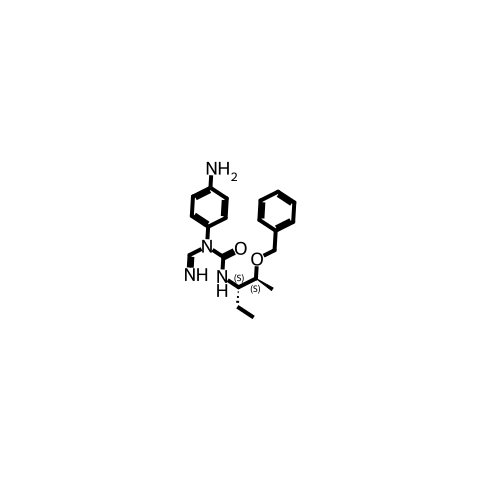 CC[C@H](NC(=O)N(C=N)c1ccc(N)cc1)[C@H](C)OCc1ccccc1